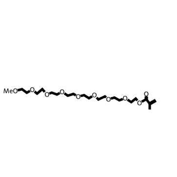 C=C(C)C(=O)OCCOCCOCCOCCOCCOCCOCCOCCOC